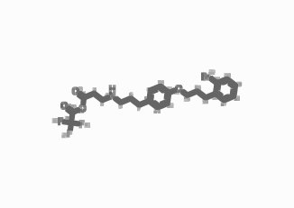 O=C(CCNCCCc1ccc(OCCCc2ccccc2Br)cc1)OC(=O)C(F)(F)F